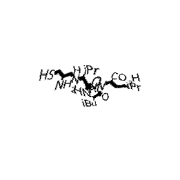 CC[C@H](C)[C@H](NC(=O)[C@@H](NC[C@@H](N)CS)C(C)C)C(=O)N[C@@H](CC(C)C)C(=O)O